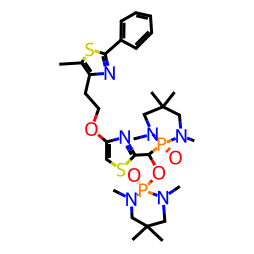 Cc1sc(-c2ccccc2)nc1CCOc1csc(C(OP2(=O)N(C)CC(C)(C)CN2C)P2(=O)N(C)CC(C)(C)CN2C)n1